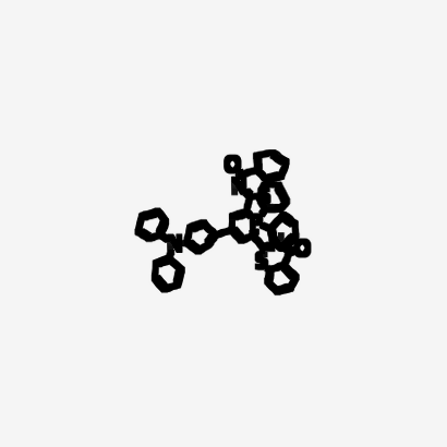 O=c1nc(C2=CC(c3ccc(N(c4ccccc4)c4ccccc4)cc3)=CC(c3nc(=O)c4ccccc4s3)=P2(c2ccccc2)c2ccccc2)sc2ccccc12